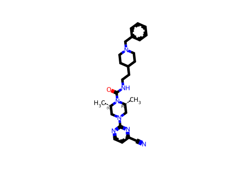 C[C@@H]1CN(c2nccc(C#N)n2)C[C@H](C)N1C(=O)NCCC1CCN(Cc2ccccc2)CC1